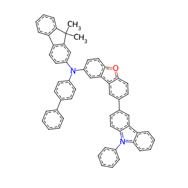 CC1(C)c2ccccc2-c2ccc(N(c3ccc(-c4ccccc4)cc3)c3ccc4oc5ccc(-c6ccc7c(c6)c6ccccc6n7-c6ccccc6)cc5c4c3)cc21